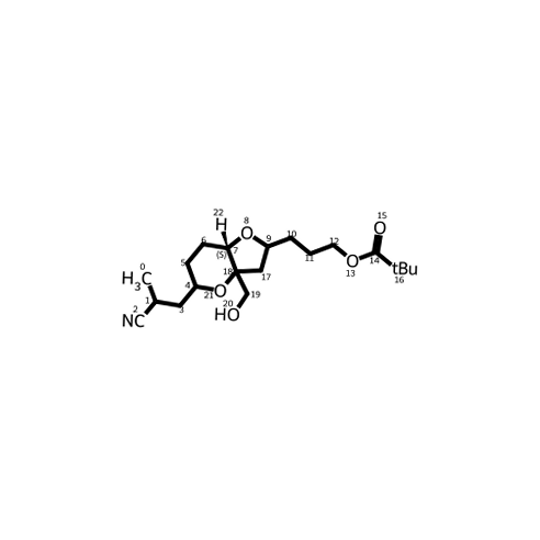 CC(C#N)CC1CC[C@@H]2OC(CCCOC(=O)C(C)(C)C)CC2(CO)O1